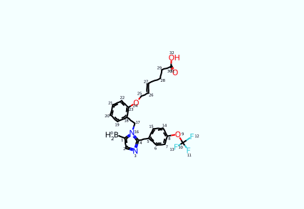 Bc1cnc(-c2ccc(OC(F)(F)F)cc2)n1Cc1ccccc1OC/C=C/CCC(=O)O